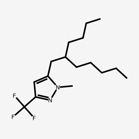 CCCCCC(CCCC)Cc1cc(C(F)(F)F)nn1C